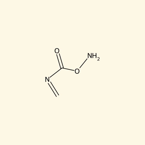 C=NC(=O)ON